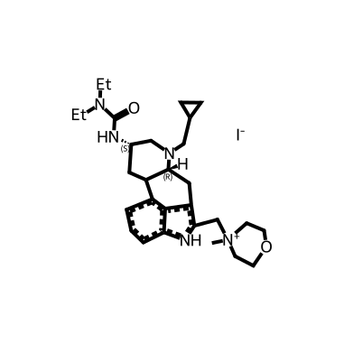 CCN(CC)C(=O)N[C@H]1CC2c3cccc4[nH]c(C[N+]5(C)CCOCC5)c(c34)C[C@H]2N(CC2CC2)C1.[I-]